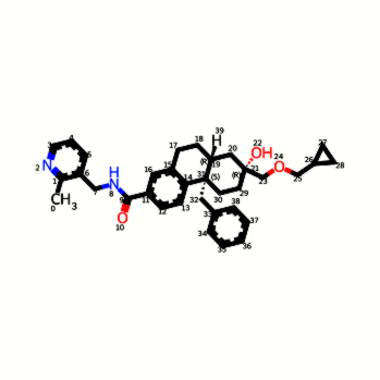 Cc1ncccc1CNC(=O)c1ccc2c(c1)CC[C@@H]1C[C@@](O)(COCC3CC3)CC[C@@]21Cc1ccccc1